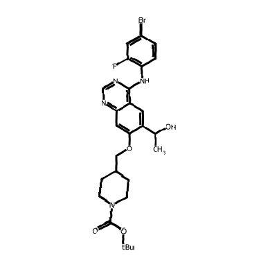 CC(O)c1cc2c(Nc3ccc(Br)cc3F)ncnc2cc1OCC1CCN(C(=O)OC(C)(C)C)CC1